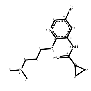 CN(C)CCCOc1ncc(Br)cc1NC(=O)C1CC1